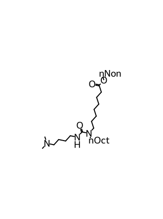 CCCCCCCCCOC(=O)CCCCCCCN(CCCCCCCC)C(=O)NCCCCN(C)C